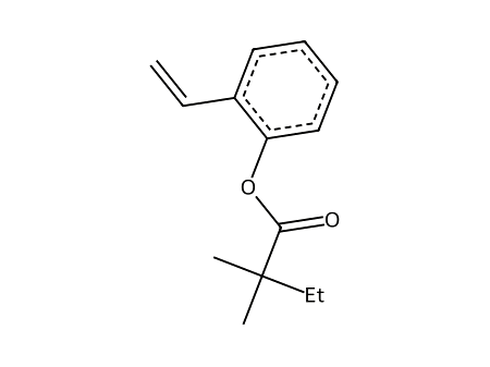 C=Cc1ccccc1OC(=O)C(C)(C)CC